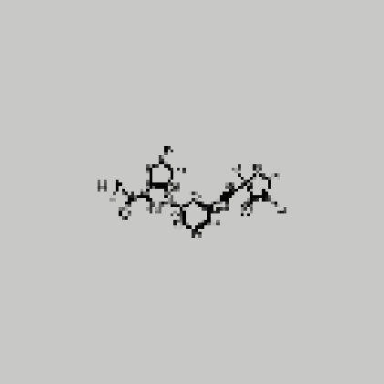 CC1Cc2c(C(N)=O)nn(-c3cccc(C#C[C@]4(C)CCN(C)C4=O)c3)c2C1